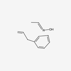 C=CCc1ccccc1.CC=NO